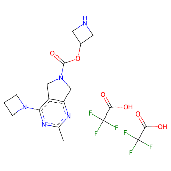 Cc1nc2c(c(N3CCC3)n1)CN(C(=O)OC1CNC1)C2.O=C(O)C(F)(F)F.O=C(O)C(F)(F)F